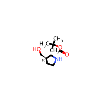 CC(C)(C)OC=O.OC[C@@H]1CCNC1